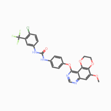 COc1cc2ncnc(Oc3ccc(NC(=O)Nc4ccc(Cl)c(C(F)(F)F)c4)cc3)c2c2c1OCCO2